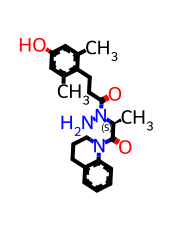 Cc1cc(O)cc(C)c1CCC(=O)N(N)[C@@H](C)C(=O)N1CCCc2ccccc21